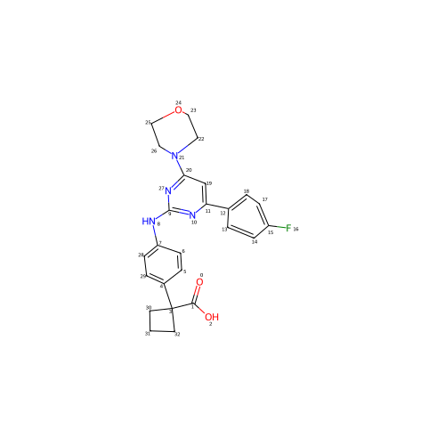 O=C(O)C1(c2ccc(Nc3nc(-c4ccc(F)cc4)cc(N4CCOCC4)n3)cc2)CCC1